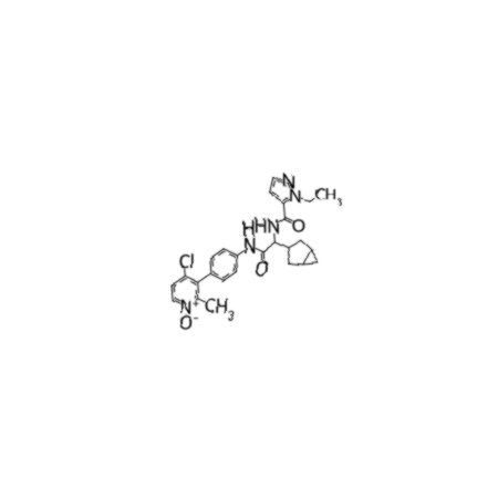 CCn1nccc1C(=O)NC(C(=O)Nc1ccc(-c2c(Cl)cc[n+]([O-])c2C)cc1)C1CC2CC2C1